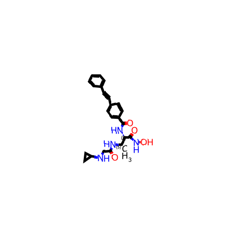 C[C@H](NC(=O)CNC1CC1)[C@H](NC(=O)c1ccc(C#Cc2ccccc2)cc1)C(=O)NO